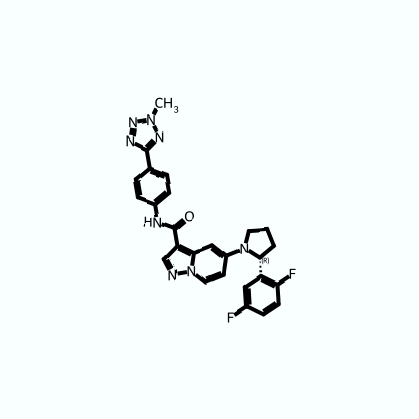 Cn1nnc(-c2ccc(NC(=O)c3cnn4ccc(N5CCC[C@@H]5c5cc(F)ccc5F)cc34)cc2)n1